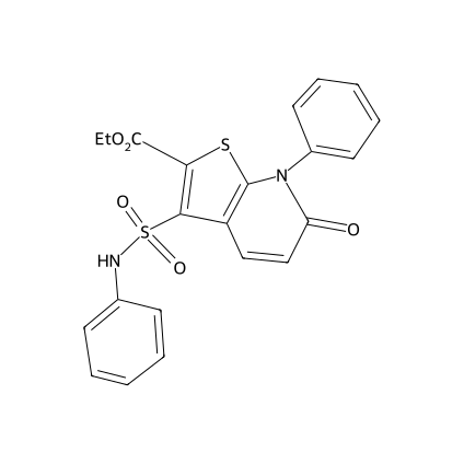 CCOC(=O)c1sc2c(ccc(=O)n2-c2ccccc2)c1S(=O)(=O)Nc1ccccc1